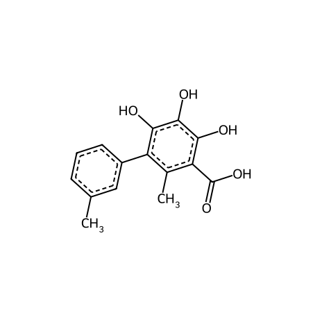 Cc1cccc(-c2c(C)c(C(=O)O)c(O)c(O)c2O)c1